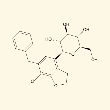 OC[C@H]1O[C@@H](c2cc(Cc3ccccc3)c(Cl)c3c2CCO3)[C@H](O)[C@@H](O)[C@@H]1O